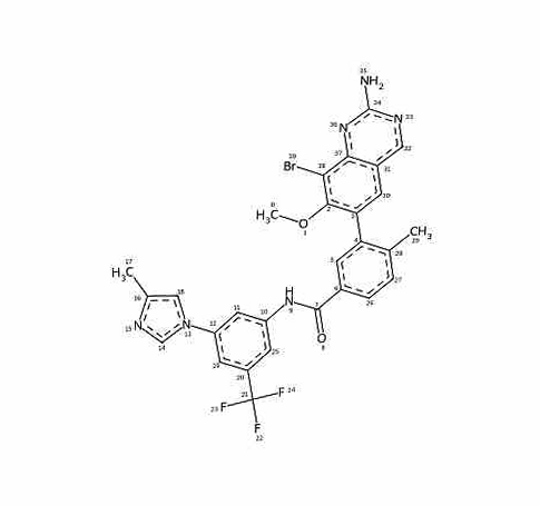 COc1c(-c2cc(C(=O)Nc3cc(-n4cnc(C)c4)cc(C(F)(F)F)c3)ccc2C)cc2cnc(N)nc2c1Br